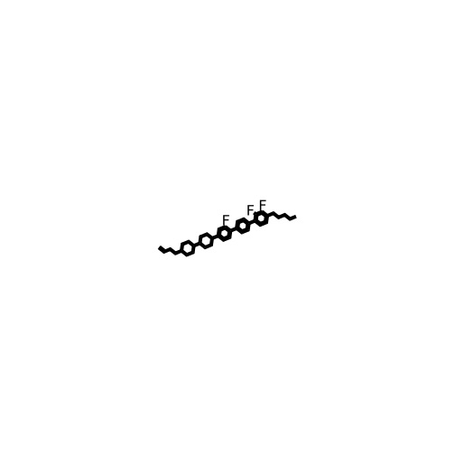 C=CCCC1CCC(C2CCC(c3ccc(-c4ccc(-c5ccc(CCCCC)c(F)c5F)cc4)c(F)c3)CC2)CC1